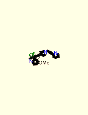 COc1ccc2ncc(Cl)c([C@@H](F)CCC3(C(=O)O)CCN(CC#Cc4ccccn4)CC3)c2c1